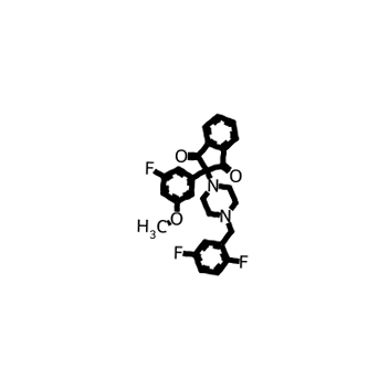 COc1cc(F)cc(C2(N3CCN(Cc4cc(F)ccc4F)CC3)C(=O)c3ccccc3C2=O)c1